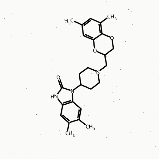 Cc1cc(C)c2c(c1)OC(CN1CCC(n3c(=O)[nH]c4cc(C)c(C)cc43)CC1)CO2